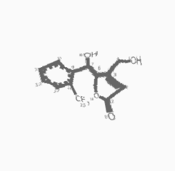 O=C1C=C(CO)C(C(O)c2ccccc2C(F)(F)F)O1